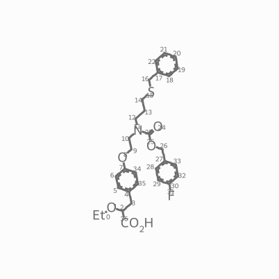 CCOC(Cc1ccc(OCCN(CCCSCc2ccccc2)C(=O)OCc2ccc(F)cc2)cc1)C(=O)O